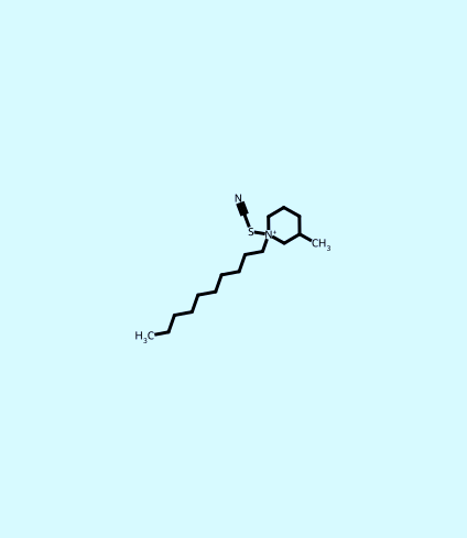 CCCCCCCCCC[N+]1(SC#N)CCCC(C)C1